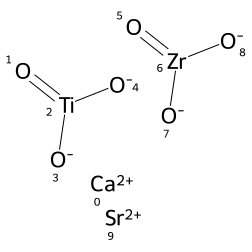 [Ca+2].[O]=[Ti]([O-])[O-].[O]=[Zr]([O-])[O-].[Sr+2]